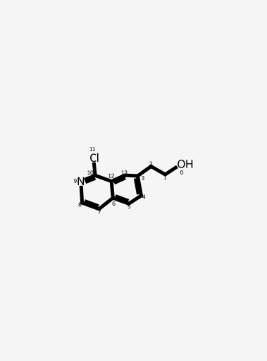 OCCc1ccc2ccnc(Cl)c2c1